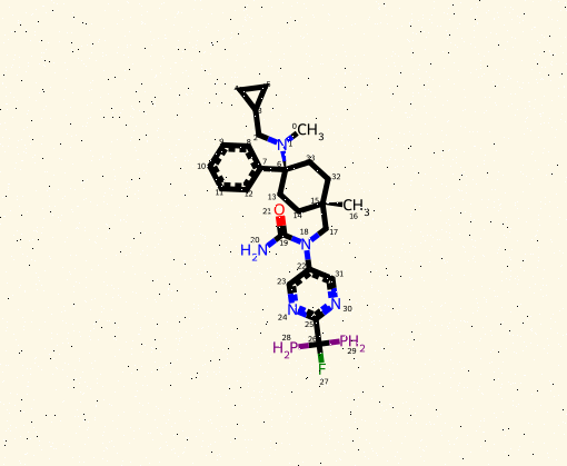 CN(CC1CC1)[C@]1(c2ccccc2)CC[C@@](C)(CN(C(N)=O)c2cnc(C(F)(P)P)nc2)CC1